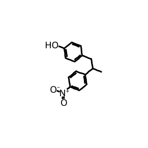 CC(Cc1ccc(O)cc1)c1ccc([N+](=O)[O-])cc1